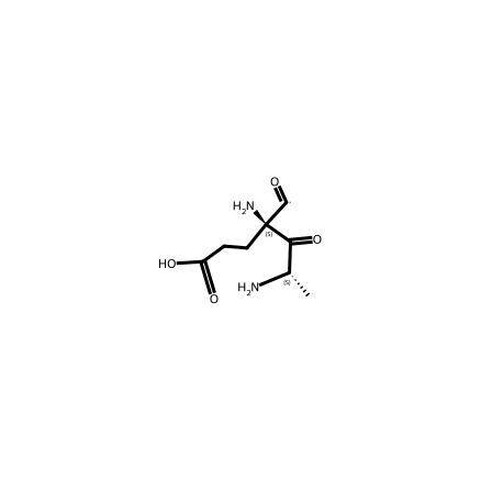 C[C@H](N)C(=O)[C@@](N)([C]=O)CCC(=O)O